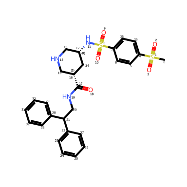 CS(=O)(=O)c1ccc(S(=O)(=O)N[C@H]2CNC[C@@H](C(=O)NCC(c3ccccc3)c3ccccc3)C2)cc1